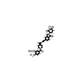 COc1cc(C(=O)N2CCC3(CC2)C[C@@H]3C#Cc2ccc3c(c2)CN(C2CCC(=O)NC2=O)C3=O)ccc1N